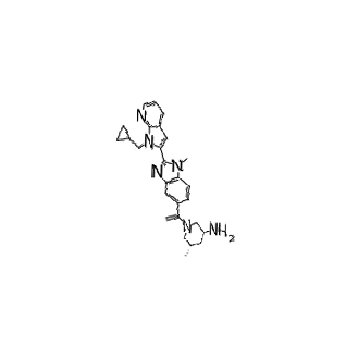 C=C(c1ccc2c(c1)nc(-c1cc3cccnc3n1CC1CC1)n2C)N1C[C@@H](C)C[C@H](N)C1